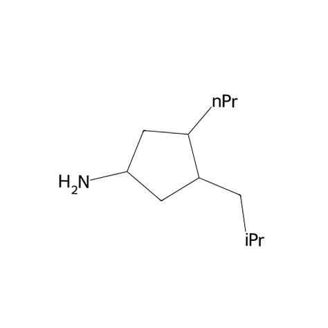 CCCC1CC(N)CC1CC(C)C